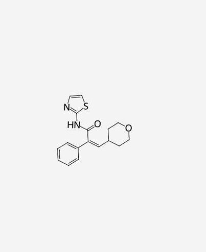 O=C(Nc1nccs1)C(=CC1CCOCC1)c1ccccc1